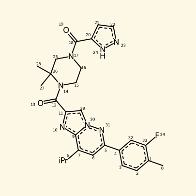 Cc1ccc(-c2cc(C(C)C)c3nc(C(=O)N4CCN(C(=O)c5ccn[nH]5)CC4(C)C)cn3n2)cc1F